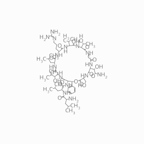 CC(C)CC(N)C(=O)NC(CC(C)C)C(=O)NC1C(=O)NC(C(O)C(C)C)C(=O)NC(CC(C)C)C(=O)NC(CCCN=C(N)N)C(=O)NC(C(C)C)C(=O)NC(C(C)O)C(=O)NCC(=O)NC(C(O)C(N)=O)C(=O)NC(CO)C(=O)OC1c1ccccc1